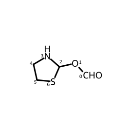 O=COC1NCCS1